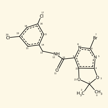 CC1(C)Oc2nc(Br)nc(C(=O)NCc3cc(Cl)cc(Cl)c3)c2O1